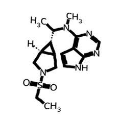 CCS(=O)(=O)N1CC2[C@@H](C(C)N(C)c3ncnc4[nH]ccc34)[C@@H]2C1